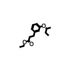 CCOC(=O)CCc1cccc(OC(C)CC)c1